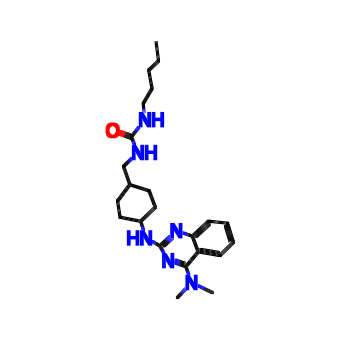 CCCCCNC(=O)NCC1CCC(Nc2nc(N(C)C)c3ccccc3n2)CC1